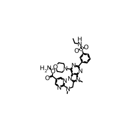 CCNS(=O)(=O)c1cccc(-c2nc(N3CCOCC3)c3nc(CN(C)c4ncc(C(=O)ON)cn4)n(C)c3n2)c1